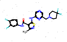 Cc1nsc(Nc2cncc(CN3CCC(F)(F)CC3)n2)c1C(=O)Nc1ccc(F)c(F)c1